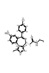 CCNC(=O)C[C@H]1N=C(c2ccc(Cl)cc2)c2cc(O)ccc2-n2c(C)nnc21